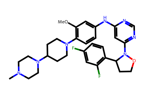 COc1cc(Nc2cc(N3OCCC3c3ccc(F)cc3F)ncn2)ccc1N1CCC(N2CCN(C)CC2)CC1